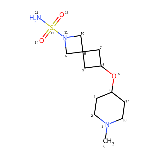 CN1CCC(OC2CC3(C2)CN(S(N)(=O)=O)C3)CC1